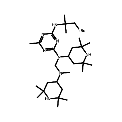 Cc1nc(NC(C)(C)CC(C)(C)C)nc(N(CN(C)C2CC(C)(C)NC(C)(C)C2)C2CC(C)(C)NC(C)(C)C2)n1